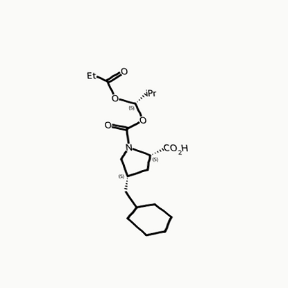 CCC(=O)O[C@@H](OC(=O)N1C[C@@H](CC2CCCCC2)C[C@H]1C(=O)O)C(C)C